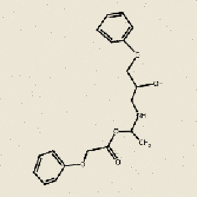 CC(NCC(O)COc1ccccc1)OC(=O)COc1ccccc1